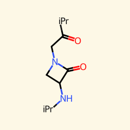 CC(C)NC1CN(CC(=O)C(C)C)C1=O